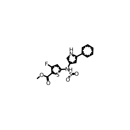 COC(=O)c1sc(N(c2c[nH]c(-c3ccccc3)c2)[SH](=O)=O)cc1F